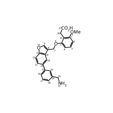 COc1cccc(OCc2coc3ccc(-c4cccc(CN)c4)cc23)c1CC(=O)O